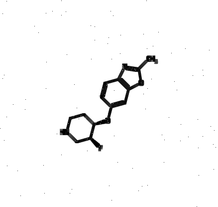 Cc1nc2ccc(O[C@@H]3CCNC[C@@H]3F)cc2o1